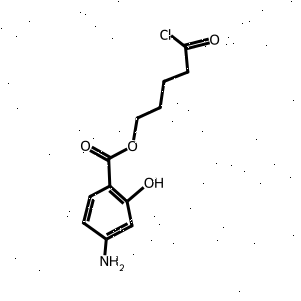 Nc1ccc(C(=O)OCCCCC(=O)Cl)c(O)c1